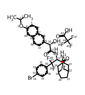 CC(C)Oc1ccc2cc([C@@H](O)C(=O)N[C@@H](C(=O)N3C4CCC3CC(N)C4)C(F)(F)c3ccc(Br)cc3)ccc2c1.O=C(O)C(F)(F)F